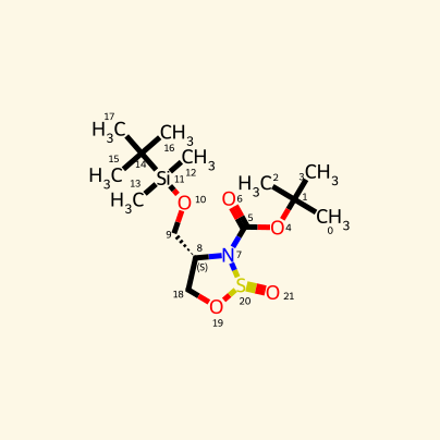 CC(C)(C)OC(=O)N1[C@@H](CO[Si](C)(C)C(C)(C)C)COS1=O